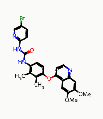 COc1cc2nccc(Oc3ccc(NC(=O)Nc4ccc(Br)cn4)c(C)c3C)c2cc1OC